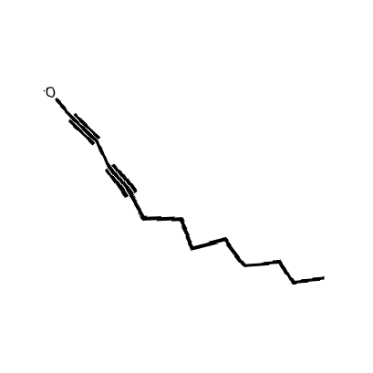 CCCCCCCCC#CC#C[O]